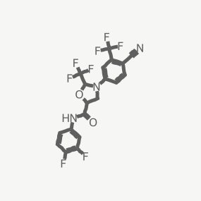 N#Cc1ccc(N2CC(C(=O)Nc3ccc(F)c(F)c3)OC2C(F)(F)F)cc1C(F)(F)F